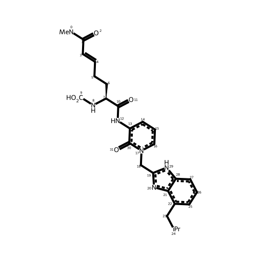 CNC(=O)/C=C/CC[C@H](NC(=O)O)C(=O)Nc1cccn(Cc2nc3c(CC(C)C)cccc3[nH]2)c1=O